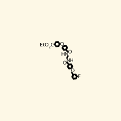 CCOC(=O)[C@H]1CC[C@@H](Oc2ccc(C(=O)NCCNC(=O)c3ccc(OCc4cccc(F)c4)cc3)cc2)CC1